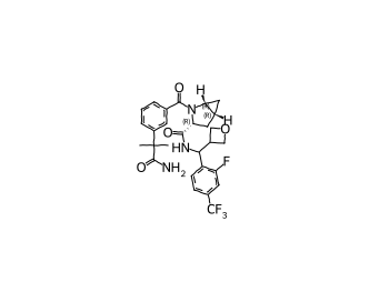 CC(C)(C(N)=O)c1cccc(C(=O)N2[C@@H](C(=O)NC(c3ccc(C(F)(F)F)cc3F)C3COC3)C[C@H]3C[C@H]32)c1